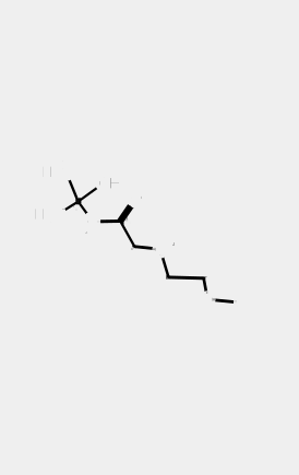 COCCOCC(=O)OC(C)(C)C